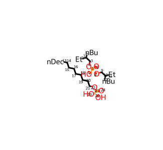 CCCCC(CC)COP(=O)(O)OCC(CC)CCCC.CCCCCCCCCCCCCCCCCCOP(=O)(O)O